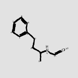 CC(CCc1ccccc1)NC=O